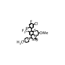 COC1CSc2c(-c3cc(Cl)c(F)cc3F)c(C(F)(F)F)cc3c(N4CCN(C)CC4)nc(=O)n(c23)C1